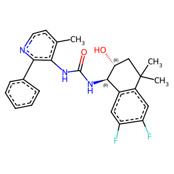 Cc1ccnc(-c2ccccc2)c1NC(=O)N[C@@H]1c2cc(F)c(F)cc2C(C)(C)C[C@H]1O